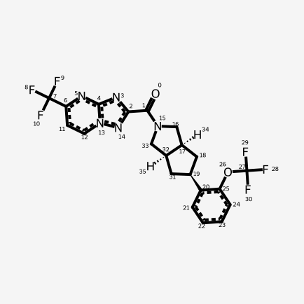 O=C(c1nc2nc(C(F)(F)F)ccn2n1)N1C[C@H]2C[C@@H](c3ccccc3OC(F)(F)F)C[C@H]2C1